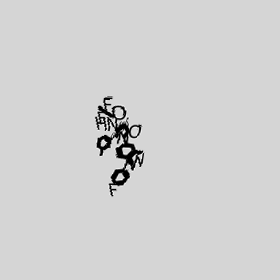 Cc1cccc([C@@H]2[C@@H](NC(=O)C(C)(F)F)[C@H](C)C(=O)N2c2ccc3c(cnn3-c3ccc(F)cc3)c2)c1